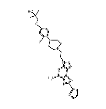 CC(C)(O)COc1ccc(N2CCN(CCn3cnc4c3nc(N)n3nc(-c5ccco5)nc43)CC2)c(F)c1